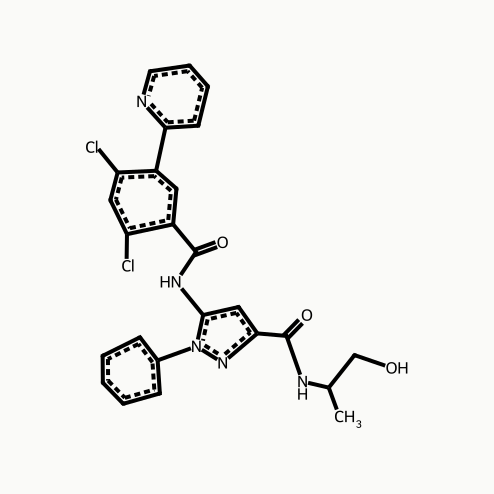 CC(CO)NC(=O)c1cc(NC(=O)c2cc(-c3ccccn3)c(Cl)cc2Cl)n(-c2ccccc2)n1